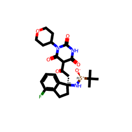 CC(C)(C)[S@+]([O-])N[C@@]1(CC(=O)C2C(=O)NC(=O)N(C3CCOCC3)C2=O)CCc2c(F)cccc21